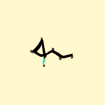 CC[CH]C1(F)CC1